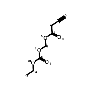 C#CCC(=O)OCOC(=O)OCC